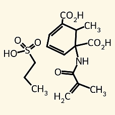 C=C(C)C(=O)NC1(C(=O)O)C=CC=C(C(=O)O)C1C.CCCS(=O)(=O)O